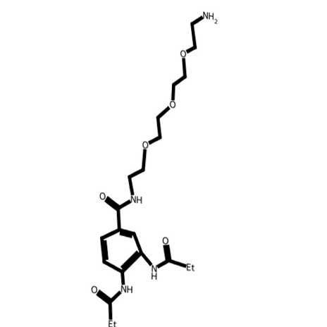 CCC(=O)Nc1ccc(C(=O)NCCOCCOCCOCCN)cc1NC(=O)CC